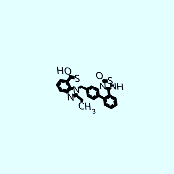 CCc1nc2cccc(C(O)=S)c2n1Cc1ccc(-c2ccccc2-c2nc(=O)s[nH]2)cc1